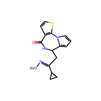 CON=C(CC1NC(=O)c2ccsc2-n2cccc21)C1CC1